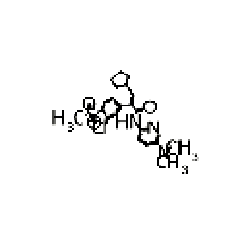 CN(C)c1ccc(NC(=O)/C(=C/C2CCCC2)c2ccc(S(C)(=O)=O)c(Cl)c2)nc1